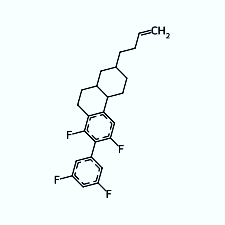 C=CCCC1CCC2c3cc(F)c(-c4cc(F)cc(F)c4)c(F)c3CCC2C1